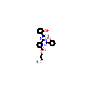 C=C(/N=C(\N=C(/N)c1ccccc1O)c1cccc(C(=O)OCCCC)c1)c1ccccc1O